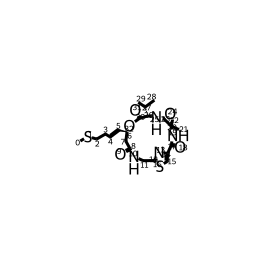 CSCC/C=C/[C@@H]1CC(=O)NCc2nc(cs2)C(=O)NC(C)(C)C(=O)N[C@@H](C(C)C)C(=O)O1